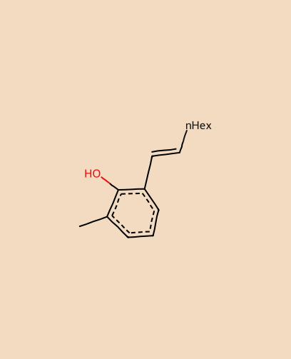 CCCCCCC=Cc1cccc(C)c1O